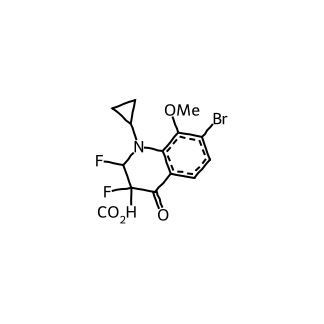 COc1c(Br)ccc2c1N(C1CC1)C(F)C(F)(C(=O)O)C2=O